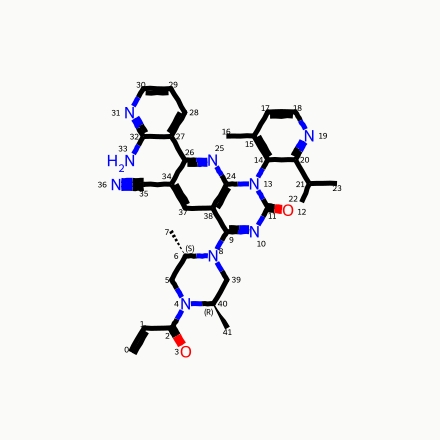 C=CC(=O)N1C[C@H](C)N(c2nc(=O)n(-c3c(C)ccnc3C(C)C)c3nc(-c4cccnc4N)c(C#N)cc23)C[C@H]1C